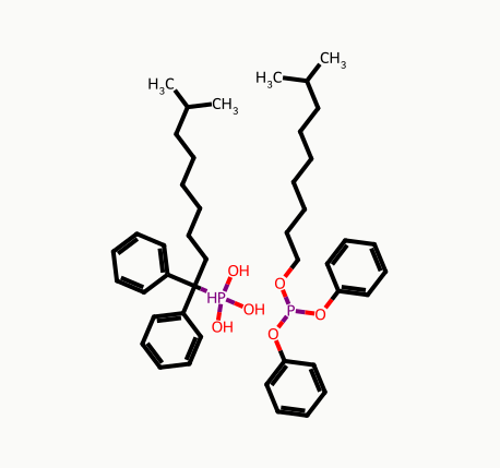 CC(C)CCCCCCC(c1ccccc1)(c1ccccc1)[PH](O)(O)O.CC(C)CCCCCCCOP(Oc1ccccc1)Oc1ccccc1